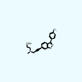 COCCN(C)CC#Cc1ccc2c(-c3ccc(C(F)(F)F)cc3)nsc2c1